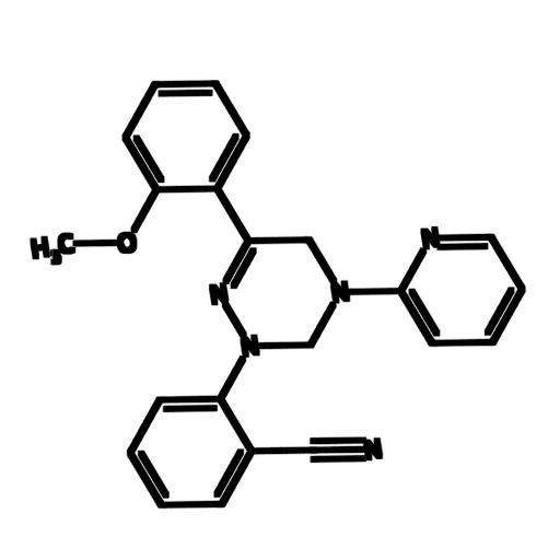 COc1ccccc1C1=NN(c2ccccc2C#N)CN(c2ccccn2)C1